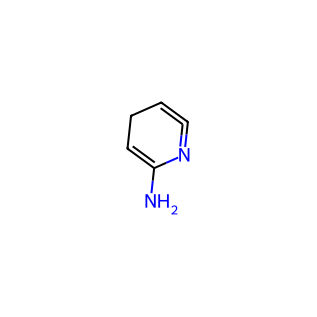 NC1=CCC=C=N1